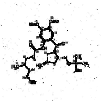 C=C1C[C@@H](CO[Si](C)(C)C(C)(C)C)N(C(=O)c2cc(OC)c(OC)cc2NC(=O)OCC(C)SSC(C)C)C1